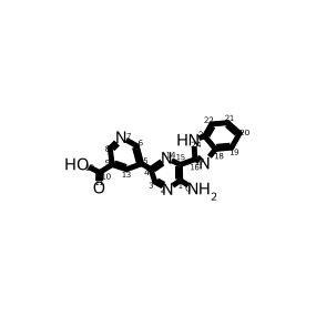 Nc1ncc(-c2cncc(C(=O)O)c2)nc1-c1nc2ccccc2[nH]1